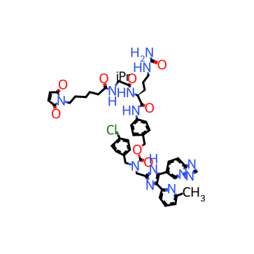 Cc1cccc(-c2nc(CN(Cc3ccc(Cl)cc3)C(=O)OCc3ccc(NC(=O)[C@H](CCCNC(N)=O)NC(=O)C(NC(=O)CCCCCN4C(=O)C=CC4=O)C(C)C)cc3)[nH]c2-c2ccc3ncnn3c2)n1